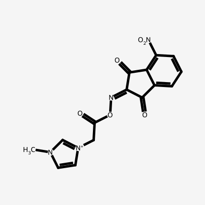 Cn1cc[n+](CC(=O)O/N=c2\c(=O)c3cccc([N+](=O)[O-])c3c2=O)c1